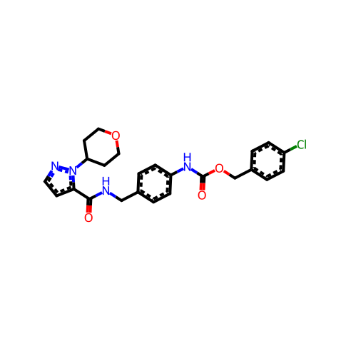 O=C(Nc1ccc(CNC(=O)c2ccnn2C2CCOCC2)cc1)OCc1ccc(Cl)cc1